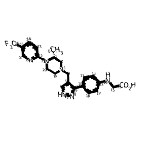 C[C@@H]1CN(Cc2c[nH]nc2-c2ccc(NCC(=O)O)cc2)CCN1c1ccc(C(F)(F)F)cn1